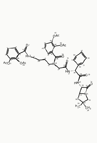 CC(=O)Oc1cccc(C(=O)NCCCCN(CC(=O)N[C@@H](C(=O)N[C@@H]2C(=O)N3CC(C)(C)SC23)c2ccccc2)C(=O)c2cccc(OC(C)=O)c2OC(C)=O)c1OC(C)=O